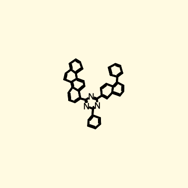 c1ccc(-c2nc(-c3ccc4c(-c5ccccc5)cccc4c3)nc(-c3cccc4c3ccc3c5ccccc5ccc43)n2)cc1